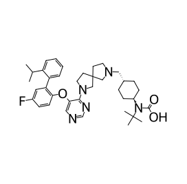 CC(C)c1ccccc1-c1cc(F)ccc1Oc1cncnc1N1CCC2(CCN(C[C@H]3CC[C@H](N(C(=O)O)C(C)(C)C)CC3)C2)C1